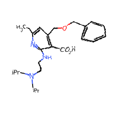 Cc1cc(COCc2ccccc2)c(C(=O)O)c(NCCN(C(C)C)C(C)C)n1